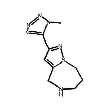 Cn1nnnc1-c1cc2n(n1)CCCNC2